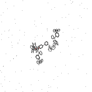 CS(=O)(=O)c1cccc(C(=O)c2cnc(N3CCC4(CCCN4Cc4cccc(-c5ccc(CN6C[C@H]7CC[C@@H](C6)N7c6ncc(C(=O)c7cccc(S(C)(=O)=O)c7)s6)cc5)c4)C3)s2)c1